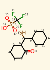 O=C1CCCCC1C(S)C1CCCCC1.O=S(=O)(O)C(F)(F)F